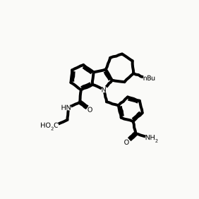 CCCCC1CCCc2c(n(Cc3cccc(C(N)=O)c3)c3c(C(=O)NCC(=O)O)cccc23)C1